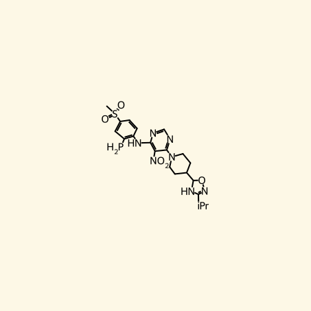 CC(C)C1=NOC(C2CCN(c3ncnc(Nc4ccc(S(C)(=O)=O)cc4P)c3[N+](=O)[O-])CC2)N1